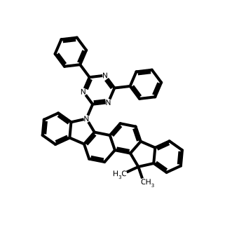 CC1(C)c2ccccc2-c2ccc3c(ccc4c5ccccc5n(-c5nc(-c6ccccc6)nc(-c6ccccc6)n5)c34)c21